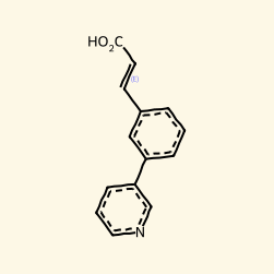 O=C(O)/C=C/c1cccc(-c2cccnc2)c1